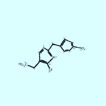 O=C(O)Cc1cnc(Cc2ccc([N+](=O)[O-])cc2)nc1Cl